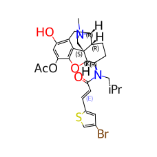 CC(=O)Oc1cc(O)c2c3c1O[C@H]1[C@H](N(CC(C)C)C(=O)/C=C/c4cc(Br)cs4)CC[C@H]4[C@@H](C2)N(C)CC[C@@]341